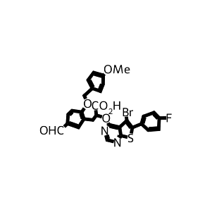 COc1ccc(COc2ccc(C=O)cc2CC(Oc2ncnc3sc(-c4ccc(F)cc4)c(Br)c23)C(=O)O)cc1